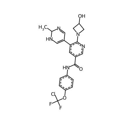 CC1N=CC(c2cc(C(=O)Nc3ccc(OC(F)(F)Cl)cc3)cnc2N2CC(O)C2)=CN1